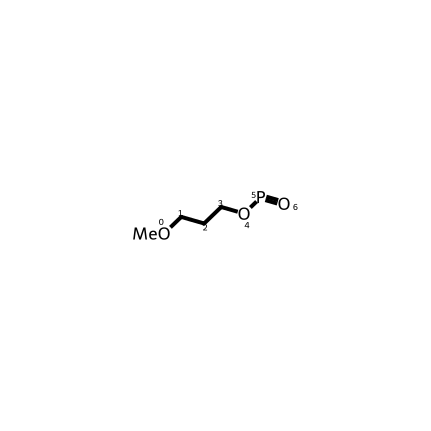 COCCCOP=O